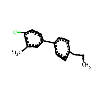 C[CH]c1ccc(-c2ccc(Cl)c(C)c2)cc1